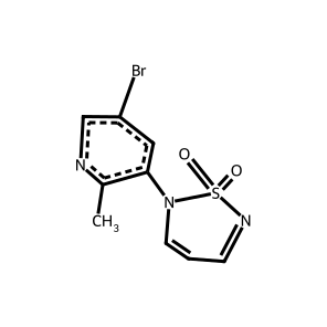 Cc1ncc(Br)cc1N1C=CC=NS1(=O)=O